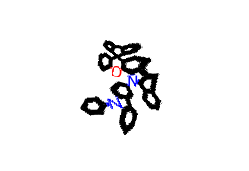 c1ccc(-n2c3ccccc3c3cc(-n4c5c6c(ccc5c5ccc7ccccc7c54)C4(c5ccccc5O6)c5ccccc5-c5ccccc54)ccc32)cc1